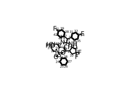 O=C[C@@](NC(=O)O)(NC1CC(F)(F)CC1CC[C@H]1CNCCN1S(=O)(=O)c1ccccc1)C(c1ccc(F)cc1)c1ccc(F)cc1